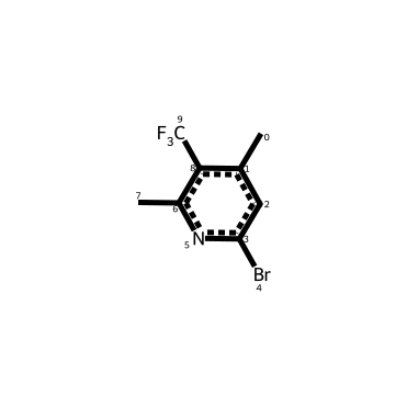 Cc1cc(Br)nc(C)c1C(F)(F)F